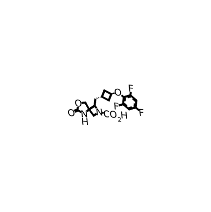 O=C1NC2(CO1)CN(C(=O)O)C2C[C@H]1C[C@H](Oc2c(F)cc(F)cc2F)C1